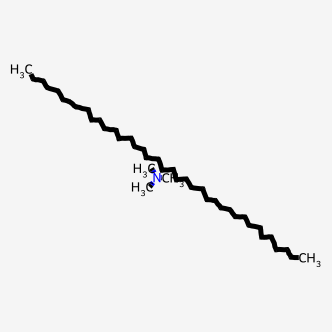 CCCCCCCCCCCCCCCCCCCCCCCCCCCCCCCCCCCCCCC.CN(C)C